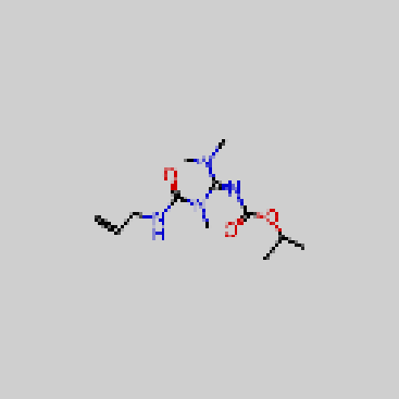 C=CCNC(=O)N(C)/C(=N\C(=O)OC(C)C)N(C)C